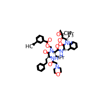 C#Cc1cccc(C(=O)OCN(C(=O)[C@H](CCc2ccccc2)NC(=O)CN2CCOCC2)[C@@H](CC(C)C)C(=O)N[C@@H](Cc2ccccc2)C(=O)N[C@@H](CC(C)C)C(=O)[C@]2(C)CO2)c1